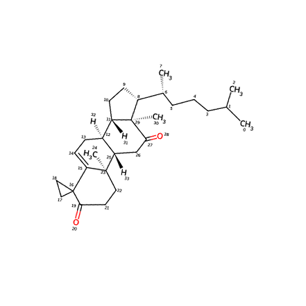 CC(C)CCC[C@@H](C)[C@H]1CC[C@H]2[C@@H]3CC=C4C5(CC5)C(=O)CC[C@]4(C)[C@H]3CC(=O)[C@]12C